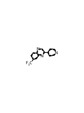 FC(F)(F)c1ccc2ncc(-c3ccncc3)nc2c1